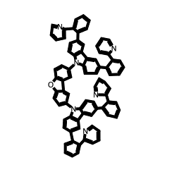 c1ccc(-c2ccccc2-c2ccc3c(c2)c2cc(-c4ccccc4-c4ccccn4)ccc2n3-c2ccc3oc4ccc(-n5c6ccc(-c7ccccc7-c7ccccn7)cc6c6cc(-c7ccccc7-c7ccccn7)ccc65)cc4c3c2)nc1